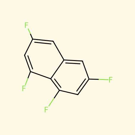 Fc1cc(F)c2c(F)cc(F)cc2c1